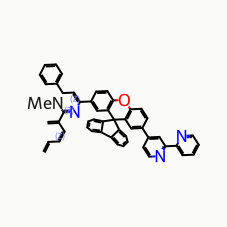 C=C/C=C\C(=C)/C(=N/C(=C\Cc1ccccc1)c1ccc2c(c1)C1(c3cc(-c4ccnc(-c5ccccn5)c4)ccc3O2)c2ccccc2-c2ccccc21)NC